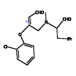 CC(C)CC(C=O)N(C)C/C(=C\C=O)Oc1ccccc1Cl